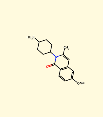 COc1ccc2c(=O)n(C3CCC(C(=O)O)CC3)c(C)cc2c1